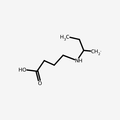 [CH2]C(CC)NCCCC(=O)O